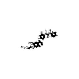 COCCOc1cc2nccc(Oc3ccc(NC(=O)Nc4ccccn4)c(F)c3)c2cc1C#N